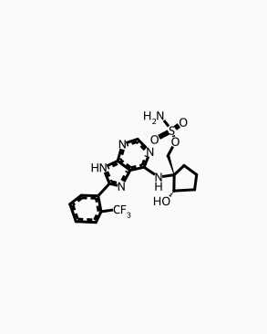 NS(=O)(=O)OC[C@@]1(Nc2ncnc3[nH]c(-c4ccccc4C(F)(F)F)nc23)CCC[C@@H]1O